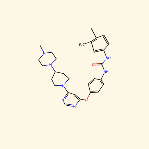 Cc1ccc(NC(=O)Nc2ccc(Oc3cc(N4CCC(N5CCN(C)CC5)CC4)ncn3)cc2)cc1C(F)(F)F